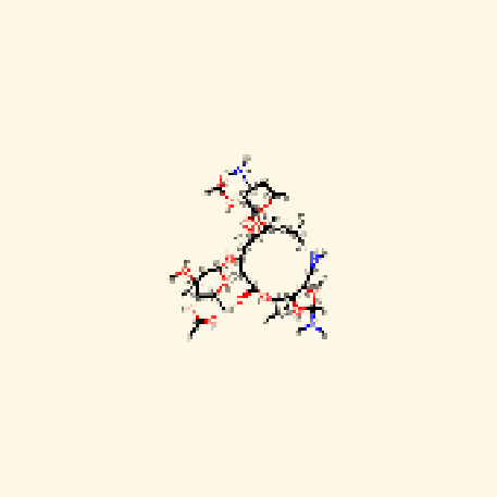 CC[C@H]1OC(=O)[C@H](C)[C@@H](O[C@H]2C[C@@](C)(OC)[C@@H](OC(C)=O)[C@H](C)O2)[C@H](C)[C@@H](O[C@@H]2O[C@H](C)C[C@H](N(C)C)[C@H]2OC(C)=O)[C@](C)(O)C[C@@H](C)CN(C)[C@H](C)[C@H]2OC(C)(N(C)C)O[C@@]21C